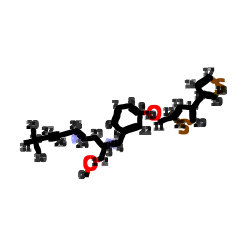 COC/C(=C/c1cccc(OCc2cc(-c3ccsc3)cs2)c1)C/C=C/C#CC(C)(C)C